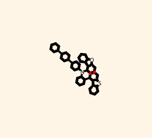 c1ccc(-c2ccc(-c3ccc(N(c4ccccc4-c4cccc5sc6ccccc6c45)c4cccc5oc6ccccc6c45)cc3)cc2)cc1